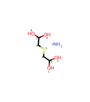 N.OC(O)CSCC(O)O